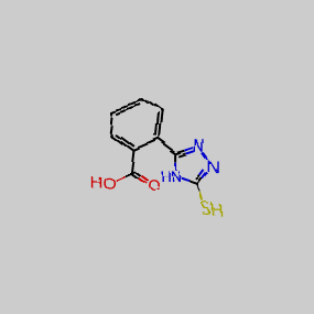 O=C(O)c1ccccc1-c1nnc(S)[nH]1